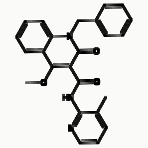 COc1c(C(=O)Nc2ncccc2C)c(=O)n(Cc2ccccc2)c2ccccc12